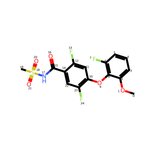 COc1cccc(F)c1Oc1cc(F)c(C(=O)NS(C)(=O)=O)cc1F